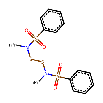 CCCN(SSN(CCC)S(=O)(=O)c1ccccc1)S(=O)(=O)c1ccccc1